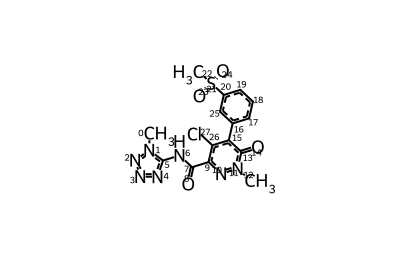 Cn1nnnc1NC(=O)c1nn(C)c(=O)c(-c2cccc(S(C)(=O)=O)c2)c1Cl